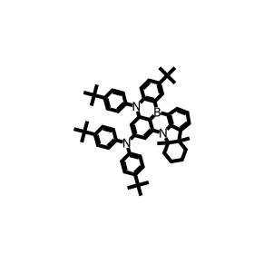 CC(C)(C)c1ccc(N(C2=CC3C4B(c5cc(C(C)(C)C)ccc5N3c3ccc(C(C)(C)C)cc3)c3cccc5c3N(C4=C2)C2(C)CCCCC52C)c2ccc(C(C)(C)C)cc2)cc1